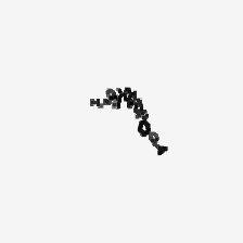 CC(NC(N)=O)c1ccc2nc(-c3cnc(Oc4cccc(OCC5CC5)c4)cn3)oc2c1